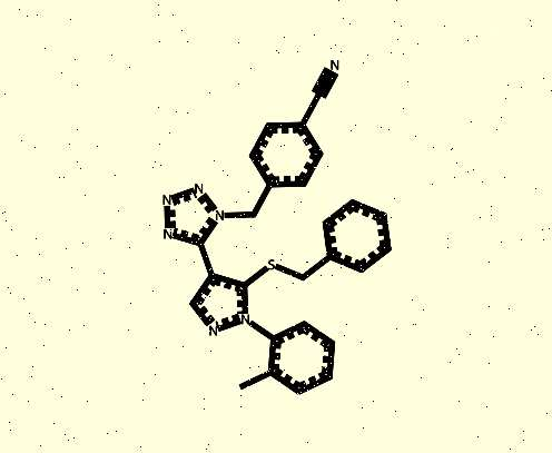 Cc1ccccc1-n1ncc(-c2nnnn2Cc2ccc(C#N)cc2)c1SCc1ccccc1